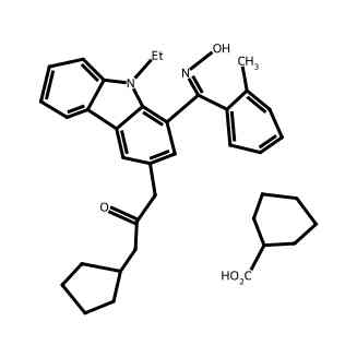 CCn1c2ccccc2c2cc(CC(=O)CC3CCCC3)cc(C(=NO)c3ccccc3C)c21.O=C(O)C1CCCCC1